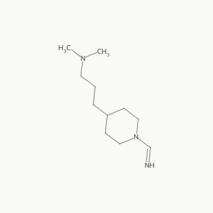 CN(C)CCCC1CCN(C=N)CC1